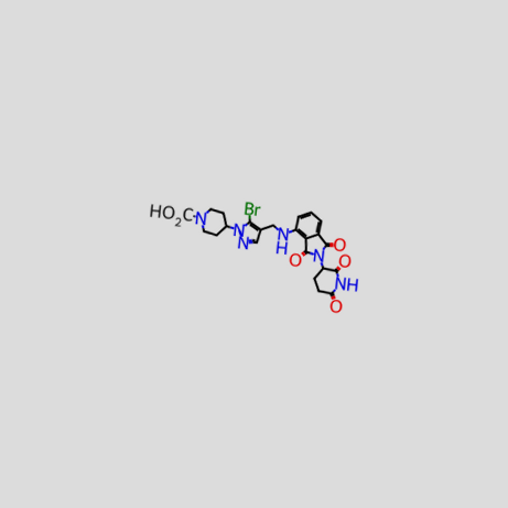 O=C1CCC(N2C(=O)c3cccc(NCc4cnn(C5CCN(C(=O)O)CC5)c4Br)c3C2=O)C(=O)N1